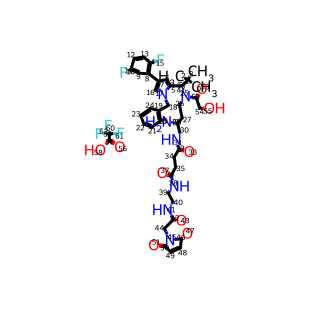 CC(C)(C)[C@H](c1cc(-c2cc(F)ccc2F)cn1Cc1ccccc1)N(CC[C@H](N)CNC(=O)CCC(=O)NCCNC(=O)CN1C(=O)C=CC1=O)C(=O)CO.O=C(O)C(F)(F)F